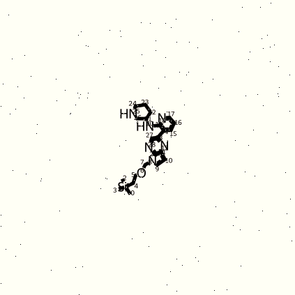 C[Si](C)(C)CCOCn1ccc2nc(-c3cccnc3N[C@H]3CCCNC3)cnc21